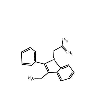 C=C(C)Cn1c(-c2ccccc2)c(CC)c2ccccc21